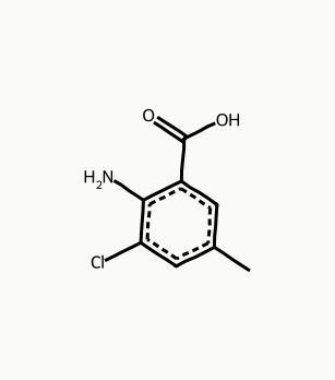 Cc1cc(Cl)c(N)c(C(=O)O)c1